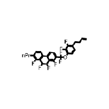 C=CCCc1ccc(OC(F)(F)c2ccc3c(c2F)C(F)C(F)c2c-3ccc(CCC)c2F)c(F)c1F